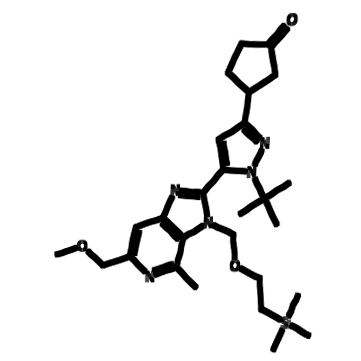 COCc1cc2nc(-c3cc(C4CCC(=O)C4)nn3C(C)(C)C)n(COCC[Si](C)(C)C)c2c(C)n1